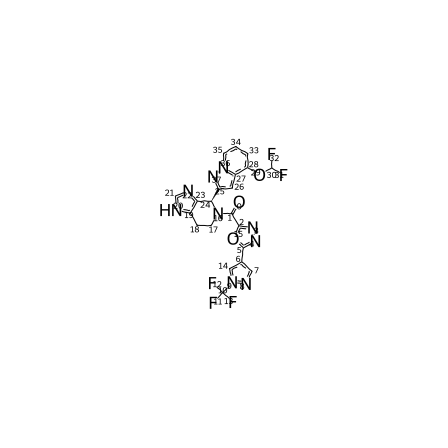 O=C(c1nnc(-c2cnn(C(F)(F)F)c2)o1)N1CCc2[nH]cnc2[C@H]1c1cc2c(OC(F)F)cccn2n1